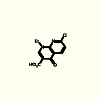 CCn1cc(C(=O)O)c(=O)c2ccc(Cl)nc21